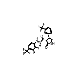 O=C1NC[C@H](c2cccc(C(F)(F)F)c2)[C@H]1C(=O)NNc1ccc(C(F)(F)F)c(F)c1F